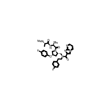 CN[C@@H](C)C(=O)N[C@H](C(=O)N1C[C@@H](Oc2ccc(F)cc2)C[C@H]1CN(CCc1ccc(F)cc1)C(=O)c1cn2cccnc2n1)C(C)(C)C